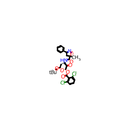 CC(C)(C)OC(=O)C[C@H](NC(=O)C1(C)CC(c2ccccc2)=NO1)C(=O)COC(=O)c1c(Cl)cccc1Cl